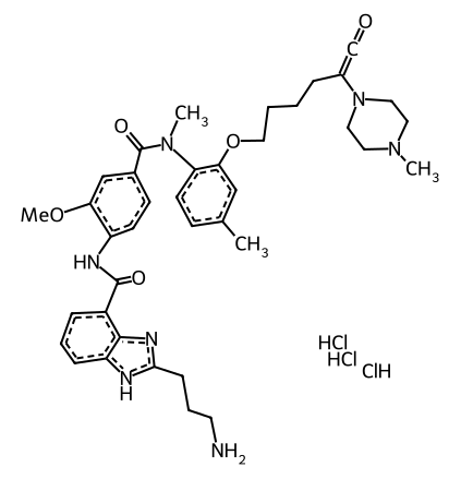 COc1cc(C(=O)N(C)c2ccc(C)cc2OCCCCC(=C=O)N2CCN(C)CC2)ccc1NC(=O)c1cccc2[nH]c(CCCN)nc12.Cl.Cl.Cl